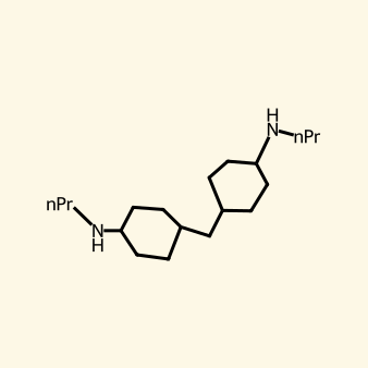 CCCNC1CCC(CC2CCC(NCCC)CC2)CC1